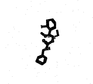 CC[C@H](OC(=O)NCc1ccccc1)[C@@H](OC)c1ccccc1I